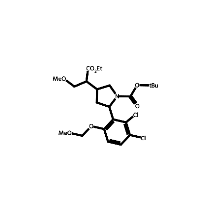 CCOC(=O)C(COC)C1CC(c2c(OCOC)ccc(Cl)c2Cl)N(C(=O)OC(C)(C)C)C1